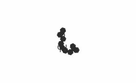 c1cc(-c2ccc3oc4nc5ccc(-c6cccc(-n7c8ccccc8c8ccccc87)c6)cc5nc4c3c2)cc(-c2cccc3c2sc2ccccc23)c1